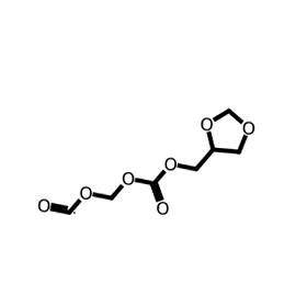 O=[C]OCOC(=O)OCC1COCO1